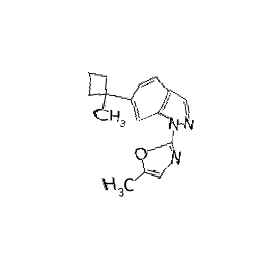 Cc1cnc(-n2ncc3ccc(C4(C)CCC4)cc32)o1